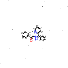 O=C(CNC(c1ccccc1)c1ccccn1)c1ccccc1